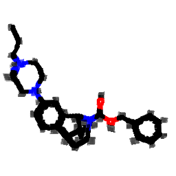 CCCN1CCN(c2ccc3c(c2)C2[C@@H](C)C3CCN2C(=O)OCc2ccccc2)CC1